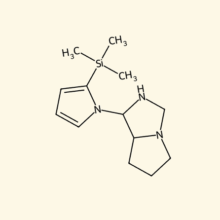 C[Si](C)(C)c1cccn1C1NCN2CCCC12